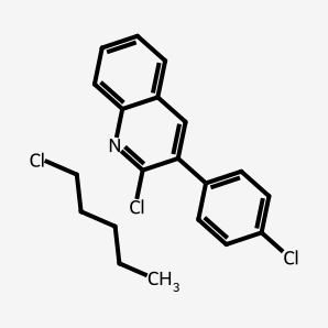 CCCCCCl.Clc1ccc(-c2cc3ccccc3nc2Cl)cc1